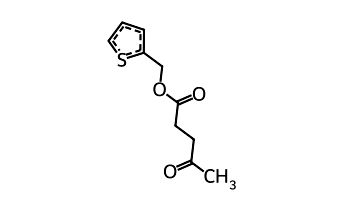 CC(=O)CCC(=O)OCc1cccs1